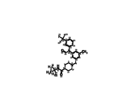 Cc1cc(CN2CCC(C(=O)NC(C)(C)C)CC2)cc(N(C=O)c2cccc(C(F)(F)F)n2)c1